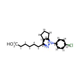 O=C(O)CCCCCc1nn(-c2ccc(Cl)cc2)c2c1CCC2